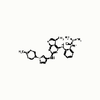 Cc1csc2nc(Nc3cnn(C4CCN(C)CC4)c3)nc(Nc3ccccc3S(=O)(=O)N(C)C)c12